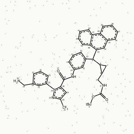 CC(C)(C)OC(=O)NCC1CC1C(c1cccc(NC(=O)c2cc(C(F)(F)F)nn2-c2cccc(CN)c2)c1)c1cc2ccccc2c2ccccc12